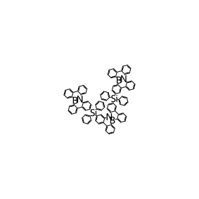 c1ccc([Si](c2ccccc2)(c2ccc3c(c2)-c2ccccc2N2B3c3ccccc3-c3ccccc32)c2ccc3c(c2)-c2ccccc2B2c4ccccc4-c4ccc([Si](c5ccccc5)(c5ccccc5)c5ccc6c(c5)-c5ccccc5B5c7ccccc7-c7ccccc7N56)cc4N23)cc1